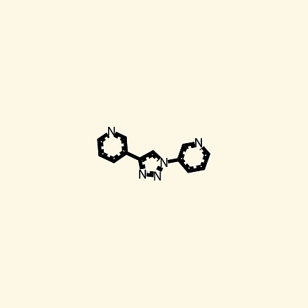 c1cncc(-c2cn(-c3cccnc3)nn2)c1